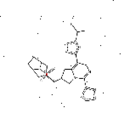 O=S(=O)(CC1CC2=C(c3ccn(C(F)F)n3)CN=C(c3nccs3)N2C1)N1C2CCC1CC(O)C2